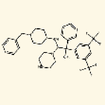 CC(c1ccccc1)(c1cc(C(F)(F)F)cc(C(F)(F)F)c1)C(NC1CCN(Cc2ccccc2)CC1)N1CCNCC1